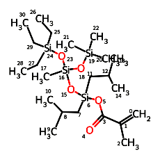 C=C(C)C(=O)O[Si](CC(C)C)(CC(C)C)O[Si](C)(O[Si](C)(C)C)O[Si](CC)(CC)CC